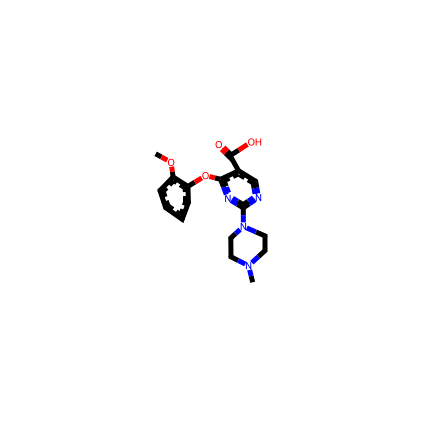 COc1ccccc1Oc1nc(N2CCN(C)CC2)ncc1C(=O)O